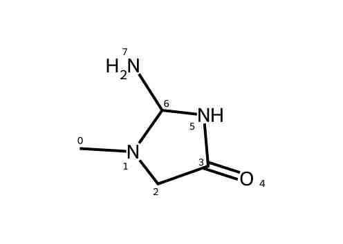 CN1CC(=O)NC1N